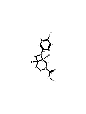 CC(C)(C)OC(=O)N1CC[C@@H]2CN(c3ccc(Cl)nc3)[C@@H]2C1